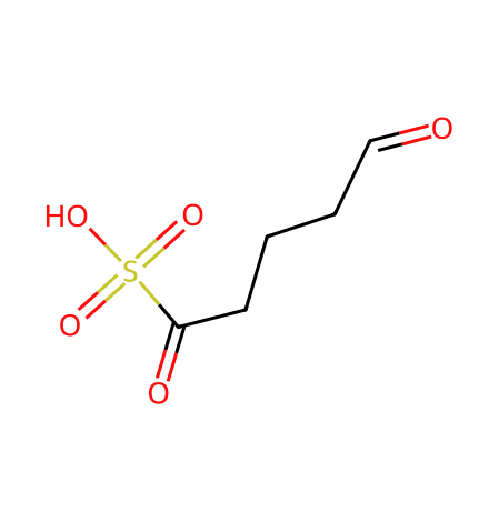 O=CCCCC(=O)S(=O)(=O)O